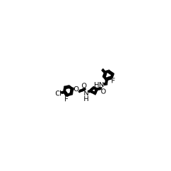 Cc1ccc(F)c(CNC(=O)C23CC(NC(=O)COc4ccc(Cl)c(F)c4)(C2)C3)c1